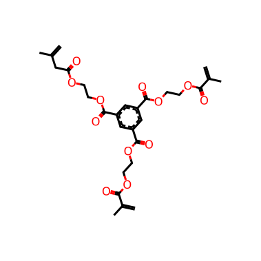 C=C(C)CC(=O)OCCOC(=O)c1cc(C(=O)OCCOC(=O)C(=C)C)cc(C(=O)OCCOC(=O)C(=C)C)c1